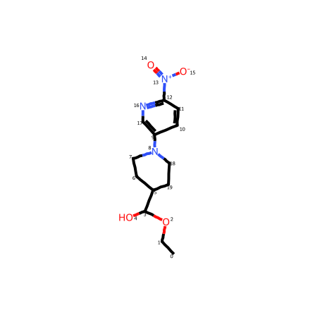 CCOC(O)C1CCN(c2ccc([N+](=O)[O-])nc2)CC1